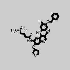 CN(C)CC=CC(=O)Nc1cc2c(Nc3ccc(OCc4ccccc4)c(Cl)c3)c(C#N)cnc2cc1OC1CCOC1